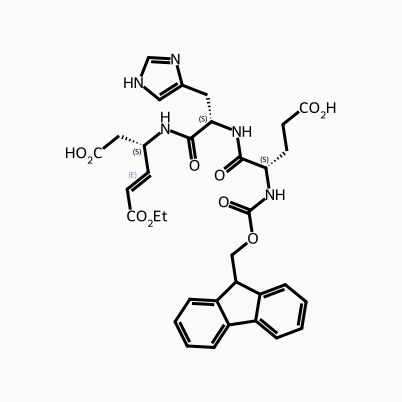 CCOC(=O)/C=C/[C@H](CC(=O)O)NC(=O)[C@H](Cc1c[nH]cn1)NC(=O)[C@H](CCC(=O)O)NC(=O)OCC1c2ccccc2-c2ccccc21